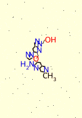 Cc1cc2nc(N)c(OCc3nc4c(cnn4CCO)cc3-n3cccn3)cc2cn1